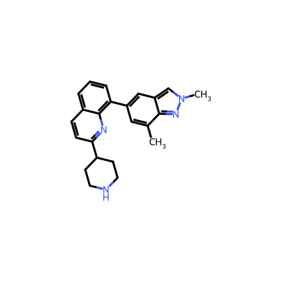 Cc1cc(-c2cccc3ccc(C4CCNCC4)nc23)cc2cn(C)nc12